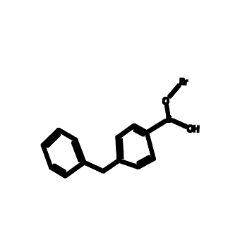 OB(OBr)c1ccc(Cc2ccccc2)cc1